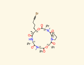 CC(C)[C@@H]1NC(=O)[C@@H](C)[C@@H](CCCC#CBr)OC(=O)[C@H](C(C)C)N(C)C(=O)[C@@H]2CCCN2C(=O)[C@H](C(C)C)OC(=O)[C@H](C(C)C)N(C)C1=O